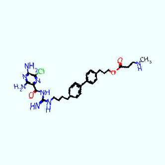 CNCCC(=O)OCCCc1ccc(-c2ccc(CCCCNC(=N)NC(=O)c3nc(Cl)c(N)nc3N)cc2)cc1